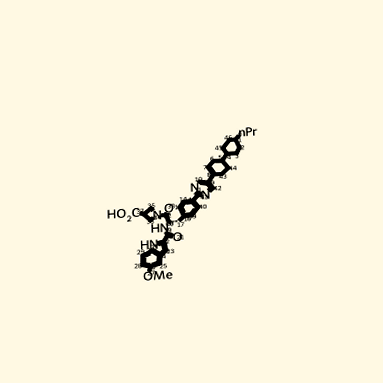 CCCC1CCC(C2CC=C(c3cnc(-c4ccc(C[C@H](NC(=O)c5cc6cc(OC)ccc6[nH]5)C(=O)N5CC(C(=O)O)C5)cc4)nc3)CC2)CC1